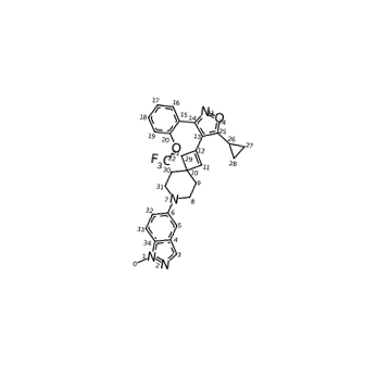 Cn1ncc2cc(N3CCC4(C=C(c5c(-c6ccccc6OC(F)(F)F)noc5C5CC5)C4)CC3)ccc21